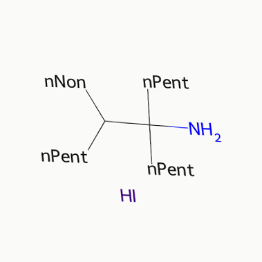 CCCCCCCCCC(CCCCC)C(N)(CCCCC)CCCCC.I